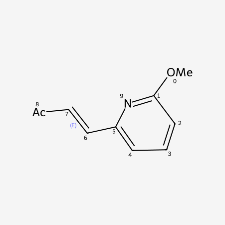 COc1cccc(/C=C/C(C)=O)n1